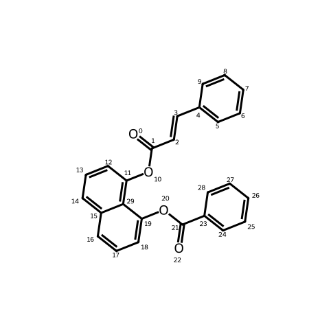 O=C(C=Cc1ccccc1)Oc1cccc2cccc(OC(=O)c3ccccc3)c12